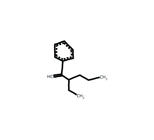 [CH]=C(c1ccccc1)C(C[CH2])CCC